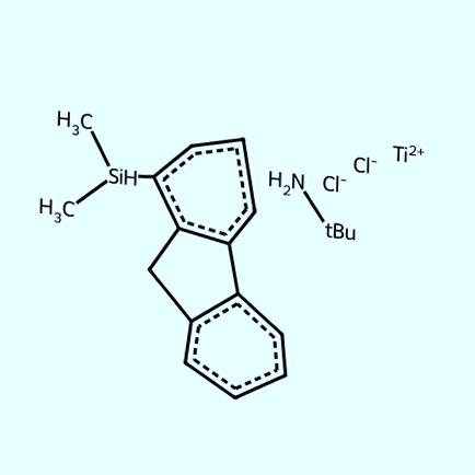 CC(C)(C)N.C[SiH](C)c1cccc2c1Cc1ccccc1-2.[Cl-].[Cl-].[Ti+2]